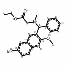 CCOC(=O)CN(C)C(c1ccccc1)c1cc2cc(Br)ccc2nc1OC